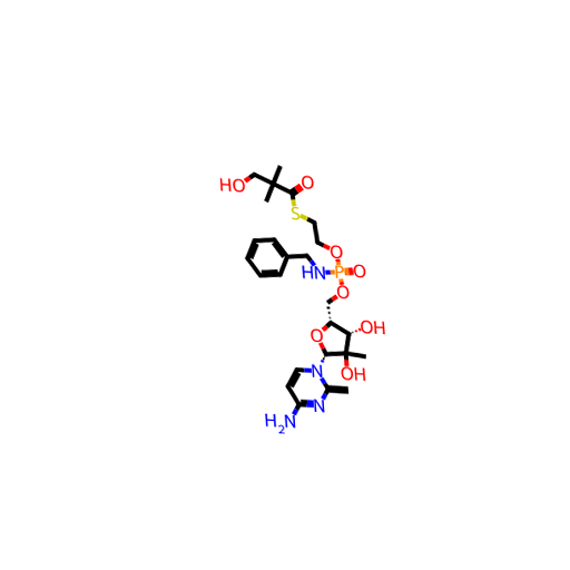 C=C1N=C(N)C=CN1[C@@H]1O[C@H](COP(=O)(NCc2ccccc2)OCCSC(=O)C(C)(C)CO)[C@H](O)C1(C)O